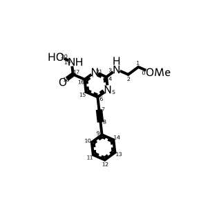 COCCNc1nc(C#Cc2ccccc2)cc(C(=O)NO)n1